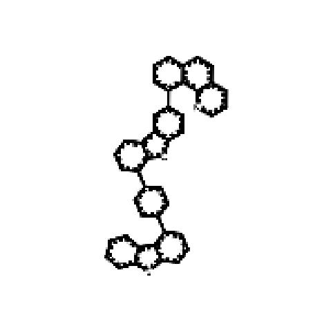 c1cnc2c(c1)ccc1cccc(-c3ccc4oc5c(-c6ccc(-c7cccc8sc9ccccc9c78)cc6)cccc5c4c3)c12